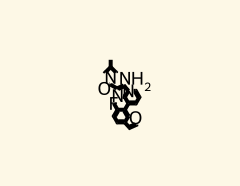 CC1CN(C(=O)c2nc3c(-c4c(F)ccc5ccoc45)cccn3c2N)C1